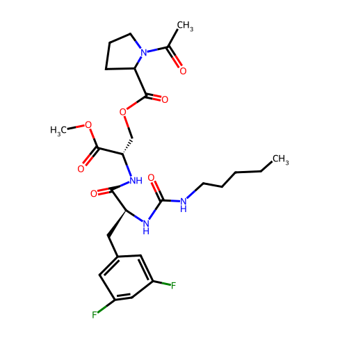 CCCCCNC(=O)N[C@@H](Cc1cc(F)cc(F)c1)C(=O)N[C@@H](COC(=O)C1CCCN1C(C)=O)C(=O)OC